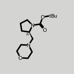 CC(C)(C)OC(=O)N1CCC[C@@H]1CN1CCOCC1